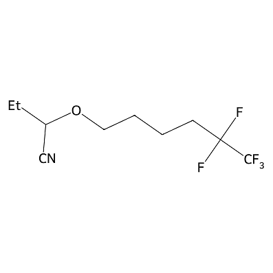 CCC(C#N)OCCCCC(F)(F)C(F)(F)F